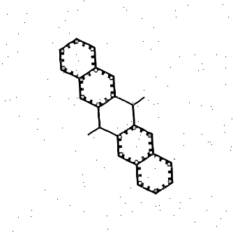 OC1c2cc3ccccc3cc2C(O)c2cc3ccccc3cc21